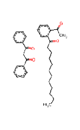 CCCCCCCCCCCC(=O)c1ccccc1C(C)=O.O=C(CC(=O)c1ccccc1)c1ccccc1